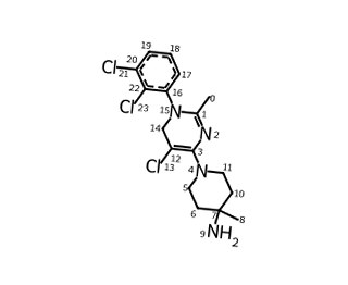 CC1=NC(N2CCC(C)(N)CC2)=C(Cl)CN1c1cccc(Cl)c1Cl